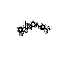 COC(=O)C12CCC(CCN3CCc4c(nc(C(=O)Nc5cccc(Br)c5C)n4C)C3)(CC1)C2